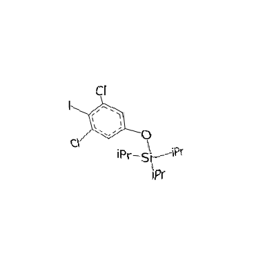 CC(C)[Si](Oc1cc(Cl)c(I)c(Cl)c1)(C(C)C)C(C)C